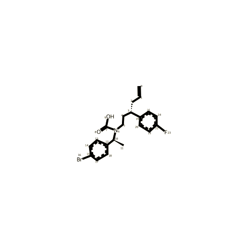 C=CC[C@@H](CCN(C(=O)O)[C@@H](C)c1ccc(Br)cc1)c1ccc(F)cc1